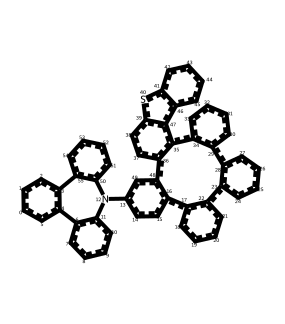 c1ccc2c(c1)-c1ccccc1N(c1ccc3c4ccccc4c4ccccc4c4ccccc4c4c(ccc5sc6ccccc6c54)c3c1)c1ccccc1-2